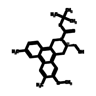 COc1cc2c3c(c4ccc(C)cc4c2cc1C)CN(C(=O)OC(C)(C)C)[C@H](CO)C3